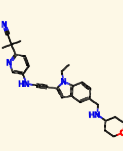 CCn1c(C#CNc2ccc(C(C)(C)C#N)nc2)cc2cc(CNC3CCOCC3)ccc21